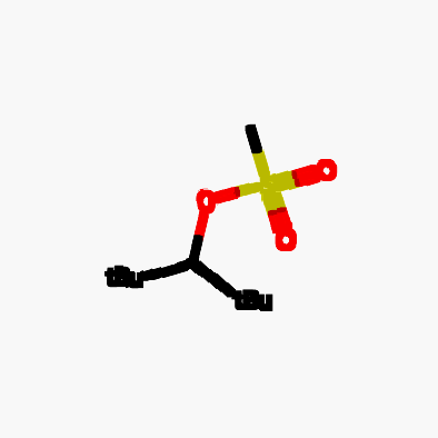 CC(C)(C)C(OS(C)(=O)=O)C(C)(C)C